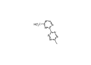 Cc1nnc(-c2nccc(C(=O)O)n2)nn1